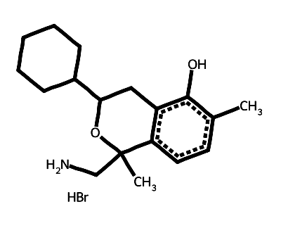 Br.Cc1ccc2c(c1O)CC(C1CCCCC1)OC2(C)CN